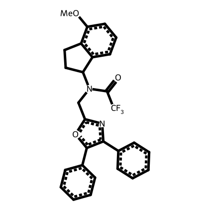 COc1cccc2c1CCC2N(Cc1nc(-c2ccccc2)c(-c2ccccc2)o1)C(=O)C(F)(F)F